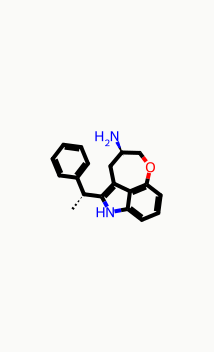 C[C@H](c1ccccc1)c1[nH]c2cccc3c2c1C[C@@H](N)CO3